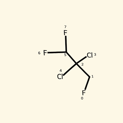 FCC(Cl)(Cl)C(F)F